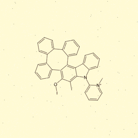 Cc1c(OI)c2c(c3c4ccccc4n(-c4cccc[n+]4C)c13)-c1ccccc1-c1ccccc1-c1ccccc1-2